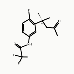 CC(=O)C[C@](C)(I)c1cc(NC(=O)C(F)(F)F)ccc1F